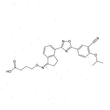 CC(C)Oc1ccc(-c2nc(-c3cccc4c3CC/C4=N/OCCCC(=O)O)no2)cc1C#N